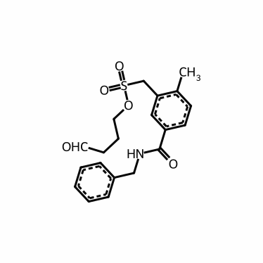 Cc1ccc(C(=O)NCc2ccccc2)cc1CS(=O)(=O)OCCCC=O